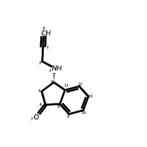 C#CCN[C@H]1CC(=O)c2ccccc21